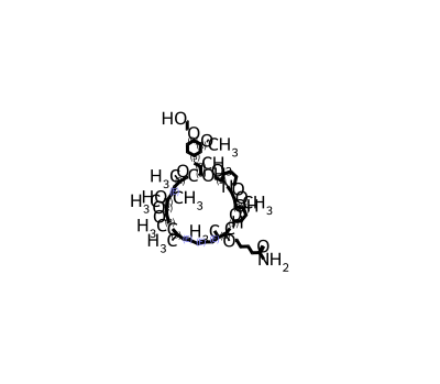 CO[C@@H]1C[C@H](C[C@@H](C)[C@@H]2CC(=O)[C@H](C)/C=C(\C)[C@@H](O)[C@@H](OC)C(=O)[C@H](C)C[C@H](C)/C=C/C=C/C=C(\C)[C@H](OCCCCC(N)=O)C[C@@H]3CC[C@@H](C)[C@@](O)(O3)C(=O)C(=O)N3CCCC[C@H]3C(=O)O2)CC[C@H]1OCCO